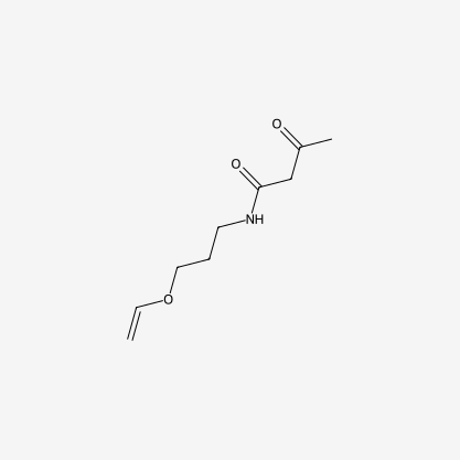 C=COCCCNC(=O)CC(C)=O